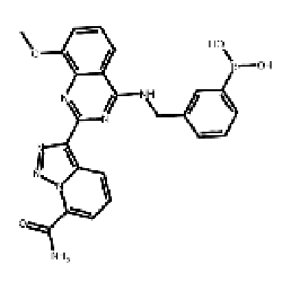 COc1cccc2c(NCc3cccc(B(O)O)c3)nc(-c3nnn4c(C(N)=O)cccc34)nc12